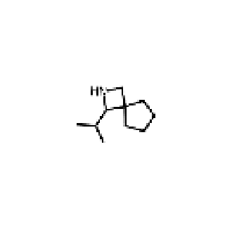 CC(C)C1NCC12CCCC2